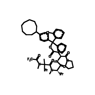 CC(C)[C@@H](C(=O)N[C@@H](CC(=O)OC(c1ccccc1)(c1ccc(C2CCCCCCCC2)cc1)c1ccccc1Cl)C(=O)N1CCCC1)N(C)C(=O)C(C)(C(C)C)N(C)C(=O)C(F)(F)F